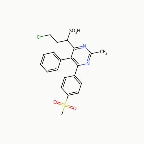 CS(=O)(=O)c1ccc(-c2nc(C(F)(F)F)nc(C(CCCl)S(=O)(=O)O)c2-c2ccccc2)cc1